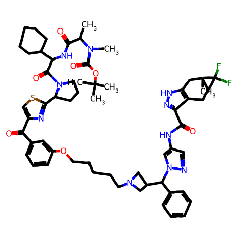 CC(C(=O)NC(C(=O)N1CCCC1c1nc(C(=O)c2cccc(OCCCCCN3CC(C(c4ccccc4)n4cc(NC(=O)c5n[nH]c6c5CC5C(F)(F)C5(C)C6)cn4)C3)c2)cs1)C1CCCCC1)N(C)C(=O)OC(C)(C)C